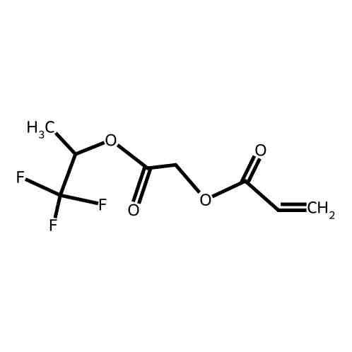 C=CC(=O)OCC(=O)OC(C)C(F)(F)F